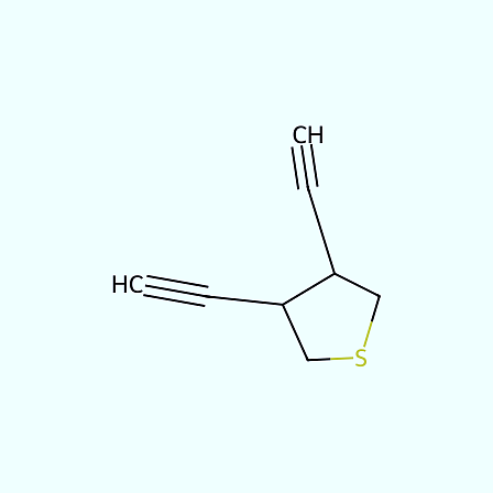 C#CC1CSCC1C#C